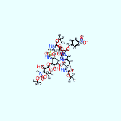 CN(C(=O)OC(C)(C)C)[C@@H]1[C@@H](O)[C@@H](O[C@@H]2[C@@H](O)[C@H](O[C@H]3OC(CNC(=O)OCc4ccc([N+](=O)[O-])cc4)=CC[C@H]3NC(=O)OC(C)(C)C)[C@@H](NC(=O)OC(C)(C)C)C[C@H]2NS(=O)(=O)CCNC(=O)OC(C)(C)C)OC[C@]1(C)O